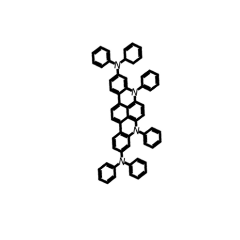 C1=CCC(N(c2ccccc2)c2ccc3c(c2)N(c2ccccc2)c2ccc4c5c(ccc-3c25)-c2ccc(N(c3ccccc3)c3ccccc3)cc2N4c2ccccc2)C=C1